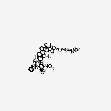 C[C@H](CCC(=O)OCCOCCOCCN=[N+]=[N-])C1CCC2C3CC[C@@H]4C[C@H](NC(=O)[C@H](Cc5ccccc5)Nc5ccc([N+](=O)[O-])c6nonc56)CC[C@]4(C)C3CC[C@@]21C